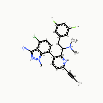 Cn1nc(N)c2c(Cl)ccc(-c3ccc(C#CC(C)(C)C)nc3C(Cc3cc(F)cc(F)c3)N(C(=O)O)C(C)(C)C)c21